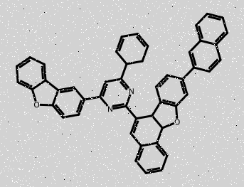 C1=CCC(c2cc(-c3ccc4oc5ccccc5c4c3)nc(C3=Cc4ccccc4C4Oc5cc(-c6ccc7ccccc7c6)ccc5C34)n2)C=C1